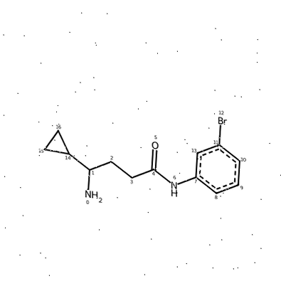 NC(CCC(=O)Nc1cccc(Br)c1)C1CC1